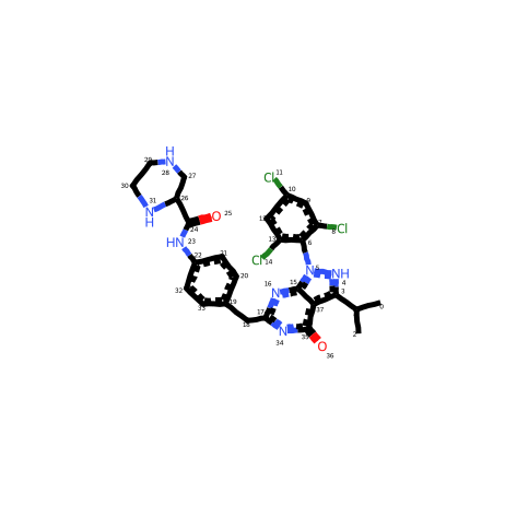 CC(C)c1[nH]n(-c2c(Cl)cc(Cl)cc2Cl)c2nc(Cc3ccc(NC(=O)C4CNCCN4)cc3)nc(=O)c1-2